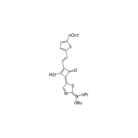 CCCCCCCCc1ccc(/C=C/C2=C(O)C(=C3C=N/C(=[N+](/CCC)CCCC)S\3)/C2=O)s1